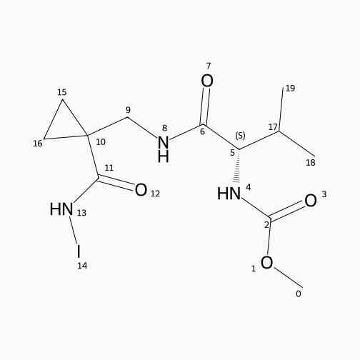 COC(=O)N[C@H](C(=O)NCC1(C(=O)NI)CC1)C(C)C